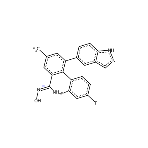 N/C(=N\O)c1cc(C(F)(F)F)cc(-c2ccc3[nH]ncc3c2)c1-c1ccc(F)cc1F